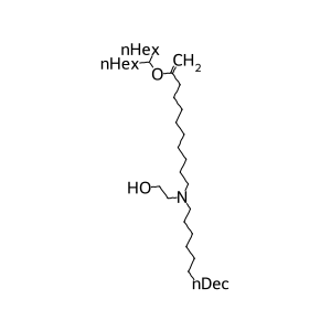 C=C(CCCCCCCCCN(CCO)CCCCCCCCCCCCCCCC)OC(CCCCCC)CCCCCC